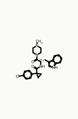 CN1CCN(C(=O)[C@H](Cc2c[nH]c3ccccc23)NC(=O)C2(c3ccc(Cl)cc3)CC2)CC1